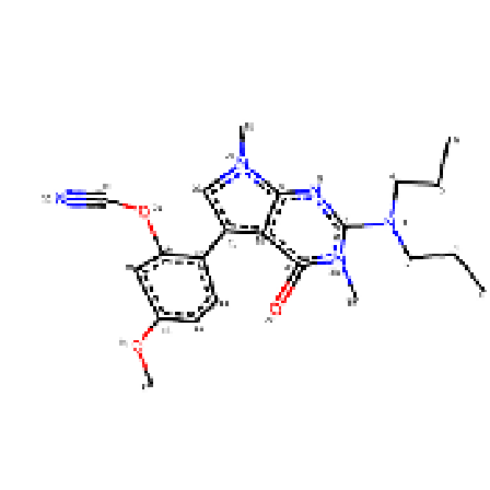 CCCN(CCC)c1nc2c(c(-c3ccc(OC)cc3OC#N)cn2C)c(=O)n1C